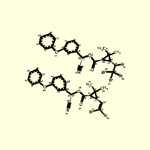 CC1(C)[C@H](C(=O)O[C@H](C#N)c2cccc(Oc3ccccc3)c2)[C@@H]1C(Br)C(Br)(Br)Br.CC1(C)[C@H](C(=O)O[C@H](C#N)c2cccc(Oc3ccccc3)c2)[C@@H]1C=C(Br)Br